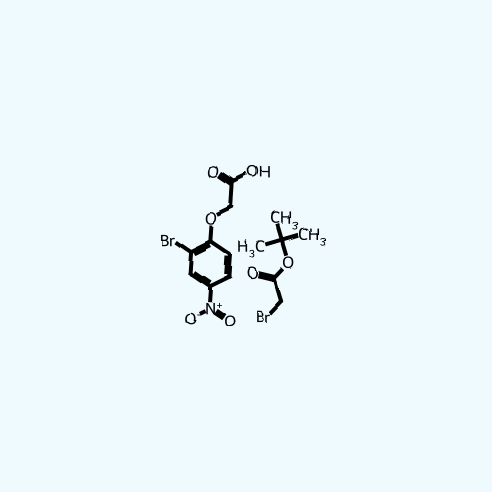 CC(C)(C)OC(=O)CBr.O=C(O)COc1ccc([N+](=O)[O-])cc1Br